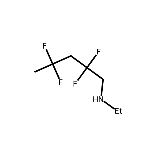 CCNCC(F)(F)CC(C)(F)F